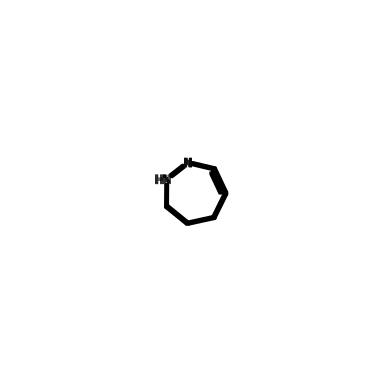 C1=C[N]NCCC1